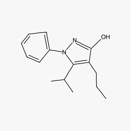 CCCc1c(O)nn(-c2ccccc2)c1C(C)C